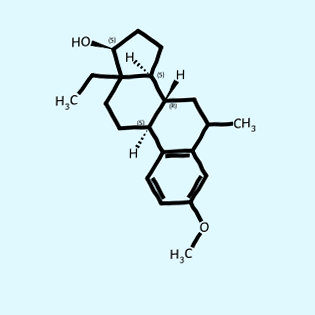 CCC12CC[C@@H]3c4ccc(OC)cc4C(C)C[C@H]3[C@@H]1CC[C@@H]2O